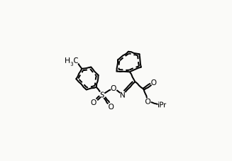 Cc1ccc(S(=O)(=O)ON=C(C(=O)OC(C)C)c2ccccc2)cc1